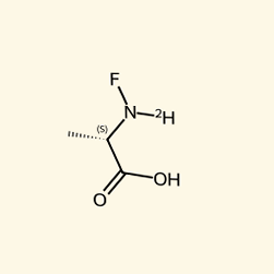 [2H]N(F)[C@@H](C)C(=O)O